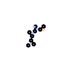 c1ccc(-n2c3ccccc3c3cc(-c4ccc5c(c4)c4ccccc4n5-c4ccc5c(c4)c4ncccc4n5-c4ccc5oc6ccccc6c5c4)ccc32)cc1